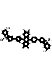 CCn1c2ccc(-c3ccc(-c4c5cc(C)c(C)cc5c(-c5ccc(-c6ccc7c(c6)c6cc(C(C)(C)C)ccc6n7CC)cc5)c5cc(C)c(C)cc45)cc3)cc2c2cc(C(C)C)ccc21